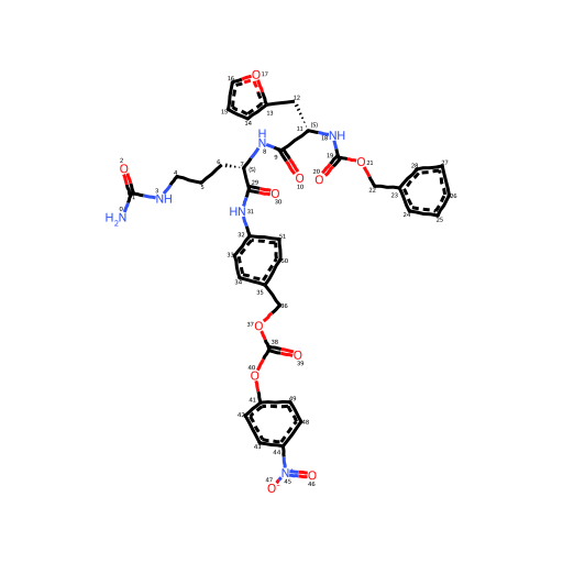 NC(=O)NCCC[C@H](NC(=O)[C@H](Cc1ccco1)NC(=O)OCc1ccccc1)C(=O)Nc1ccc(COC(=O)Oc2ccc([N+](=O)[O-])cc2)cc1